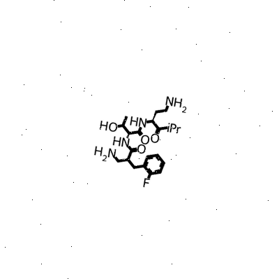 CC(C)C(=O)[C@H](CCN)NC(=O)[C@@H](NC(=O)C(CN)Cc1ccccc1F)C(C)O